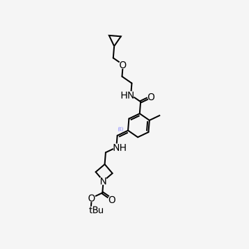 CC1=CC/C(=C\NCC2CN(C(=O)OC(C)(C)C)C2)C=C1C(=O)NCCOCC1CC1